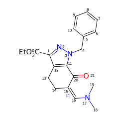 CCOC(=O)c1nn(Cc2ccccc2)c2c1CC/C(=C/N(C)C)C2=O